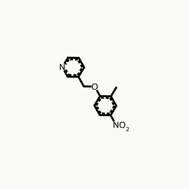 Cc1cc([N+](=O)[O-])ccc1OCc1cccnc1